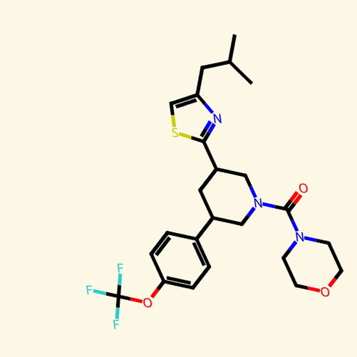 CC(C)Cc1csc(C2CC(c3ccc(OC(F)(F)F)cc3)CN(C(=O)N3CCOCC3)C2)n1